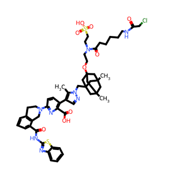 Cc1c(-c2ccc(N3CCc4cccc(C(=O)Nc5nc6ccccc6s5)c4C3)nc2C(=O)O)cnn1CC12CC3(C)CC(C)(C1)CC(OCCN(CCS(=O)(=O)O)C(=O)CCCCCNC(=O)CCl)(C3)C2